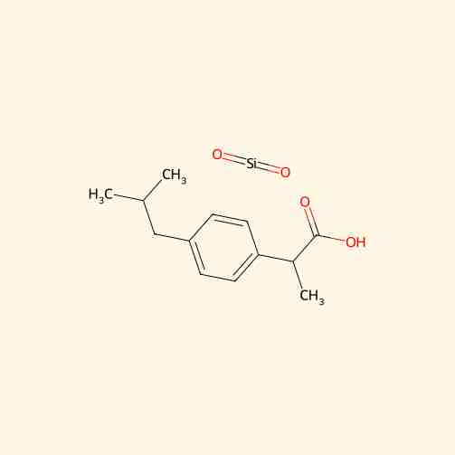 CC(C)Cc1ccc(C(C)C(=O)O)cc1.O=[Si]=O